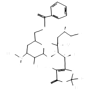 CO[C@](C)(C[C@@H](C)CO)[C@H](OC1OC(COC(=O)c2ccccc2)CC(N(C)C)C1C)[C@@H](C)C1=C(C)C(=O)OC(C)(C)O1